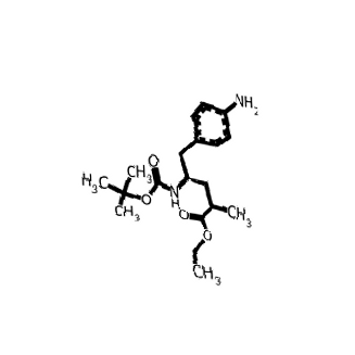 CCOC(=O)C(C)C[C@H](Cc1ccc(N)cc1)NC(=O)OC(C)(C)C